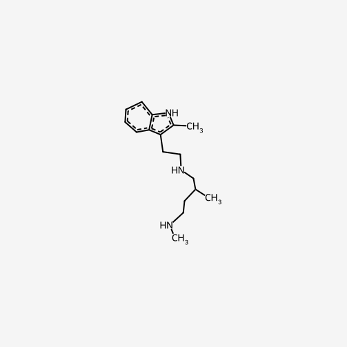 CNCCC(C)CNCCc1c(C)[nH]c2ccccc12